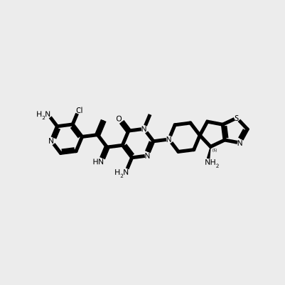 C=C(C(=N)c1c(N)nc(N2CCC3(CC2)Cc2scnc2[C@H]3N)n(C)c1=O)c1ccnc(N)c1Cl